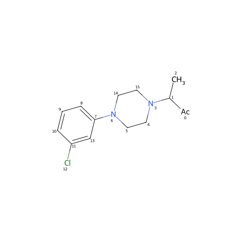 CC(=O)C(C)N1CCN(c2cccc(Cl)c2)CC1